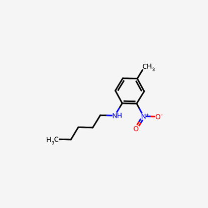 CCCCCNc1ccc(C)cc1[N+](=O)[O-]